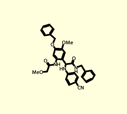 COCC(=O)Nc1cc(OCc2ccccc2)c(OC)cc1C(Nc1ccc(C#N)cc1)C(=O)NCc1ccccc1